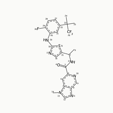 CC(NC(=O)c1cc2c(cn1)ncn2C)c1cnc(Nc2cc(C(C)(C)C(F)(F)F)ccc2F)s1